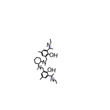 CC/N=C(\C)c1cc(C)cc(CN(C)C2CCCCC2N(C)Cc2cc(C)cc(/C(C)=N/CC)c2O)c1O